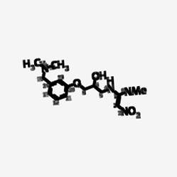 CNC(=C[N+](=O)[O-])NCC(O)COc1cccc(CN(C)C)c1